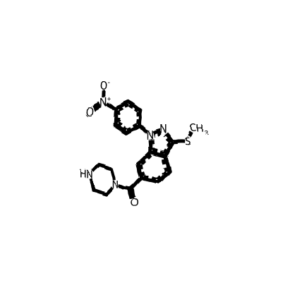 CSc1nn(-c2ccc([N+](=O)[O-])cc2)c2cc(C(=O)N3CCNCC3)ccc12